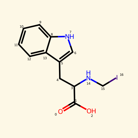 O=C(O)C(Cc1c[nH]c2ccccc12)NCI